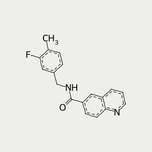 Cc1ccc(CNC(=O)c2ccc3ncccc3c2)cc1F